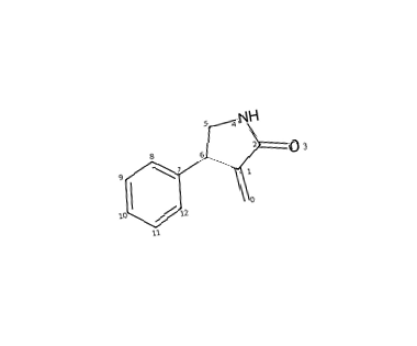 C=C1C(=O)NCC1c1ccccc1